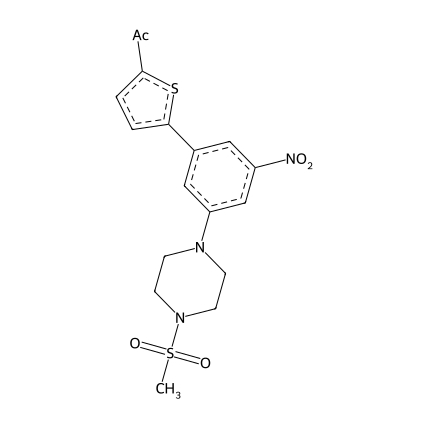 CC(=O)c1ccc(-c2cc(N3CCN(S(C)(=O)=O)CC3)cc([N+](=O)[O-])c2)s1